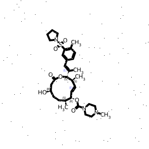 C/C(=C\c1ccc(C)c(S(=O)(=O)N2CCCC2)c1)[C@H]1OC(=O)C[C@H](O)CC[C@H](C)[C@@H](OC(=O)N2CCN(C)CC2)/C=C/[C@@H]1C